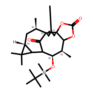 CC1=C[C@@]23C(=O)C(C4[C@@H](C[C@H]2C)C4(C)C)[C@H](O[Si](C)(C)C(C)(C)C)[C@H](C)C2OC(=O)O[C@]23C1